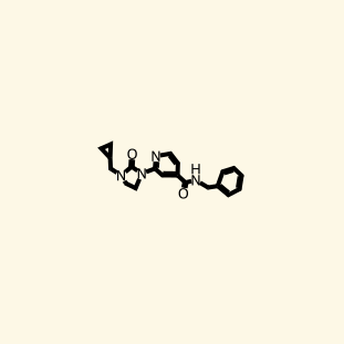 O=C(NCc1ccccc1)c1ccnc(N2CCN(CC3CC3)C2=O)c1